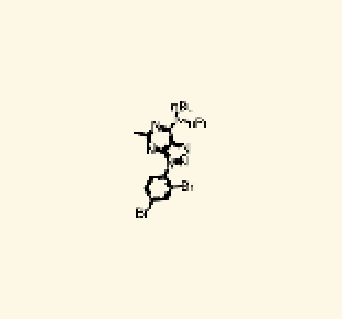 CCCCN(CCC)c1nc(C)nc2c1nnn2-c1ccc(Br)cc1Br